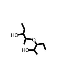 CCC(O)C(C)OC(CC)C(C)O